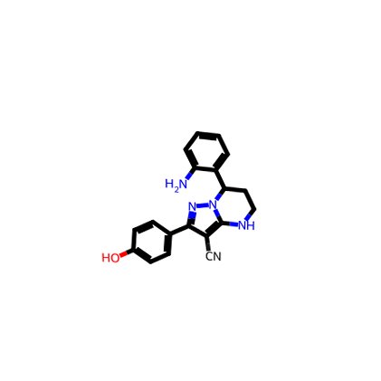 N#Cc1c(-c2ccc(O)cc2)nn2c1NCCC2c1ccccc1N